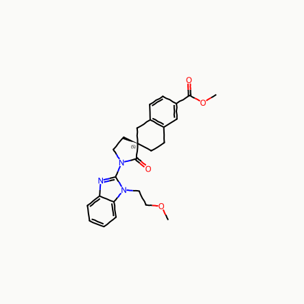 COCCn1c(N2CC[C@@]3(CCc4cc(C(=O)OC)ccc4C3)C2=O)nc2ccccc21